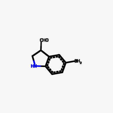 Bc1ccc2c(c1)C(C=O)CN2